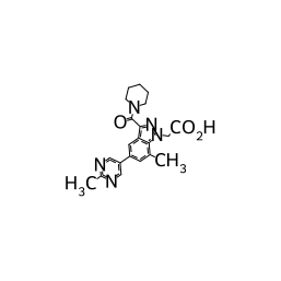 Cc1ncc(-c2cc(C)c3c(c2)c(C(=O)N2CCCCC2)nn3CC(=O)O)cn1